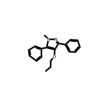 CCCOc1c(-c2ccccc2)nn(C)c1-c1ccccc1